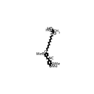 [C-]#[N+]/C(=C\c1ccc(OCCCCCCCCCCCOC(=O)C(C)(CO)CO)c(OC)c1)c1ccc(OC)c(OC)c1